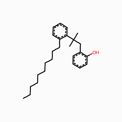 CCCCCCCCCCc1ccccc1C(C)(C)Cc1ccccc1O